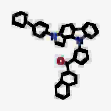 O=C(c1cccc(-n2c3ccccc3c3ccc4c(ccn4-c4ccc(-c5ccccc5)cc4)c32)c1)c1ccc2ccccc2c1